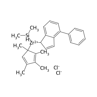 CC1=C[C](C)([Zr+2]([CH]2C=Cc3c(-c4ccccc4)cccc32)[SiH](C)C)C(C)=C1C.[Cl-].[Cl-]